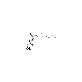 CCCCC(=O)CCC(=O)ONC(=O)OC